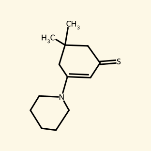 CC1(C)CC(=S)C=C(N2CCCCC2)C1